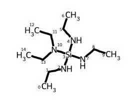 CCN[Si](NCC)(NCC)N(CC)CC